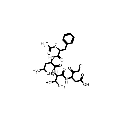 CC(=O)NC(Cc1ccccc1)C(=O)NC(CC(C)C)C(=O)NC(C(=O)NC(CC(=O)O)C(=O)CCl)C(C)O